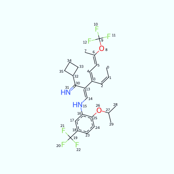 C\C=C/C(=C\C=C(/C)OC(F)(F)F)C(=C/Nc1cc(C(F)(F)F)ccc1OC(C)C)/C(=N)C1CCC1